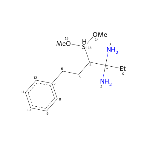 CCC(N)(N)C(CCc1ccccc1)[SiH](OC)OC